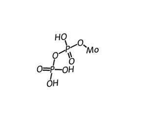 O=P(O)(O)OP(=O)(O)[O][Mo]